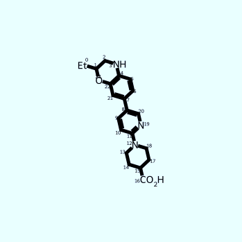 CCC1CNc2ccc(-c3ccc(N4CCC(C(=O)O)CC4)nc3)cc2O1